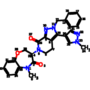 CN1C(=O)[C@@H](N2CCc3c(nn(Cc4ccccc4)c3-c3cnn(C)c3)C2=O)COc2ccccc21